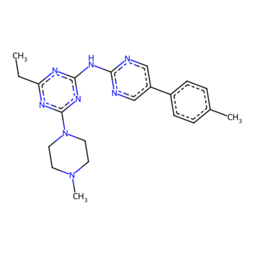 CCc1nc(Nc2ncc(-c3ccc(C)cc3)cn2)nc(N2CCN(C)CC2)n1